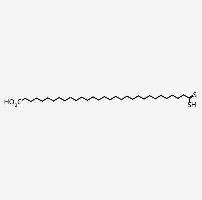 O=C(O)CCCCCCCCCCCCCCCCCCCCCCCCCCCCCC(=S)S